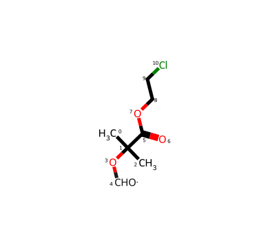 CC(C)(O[C]=O)C(=O)OCCCl